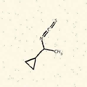 CC(N=C=S)C1CC1